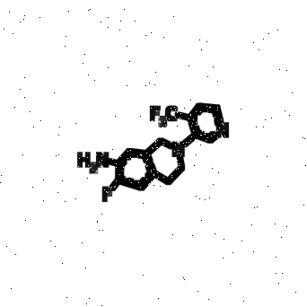 Nc1cc2c(cc1F)CCN(c1cnccc1C(F)(F)F)C2